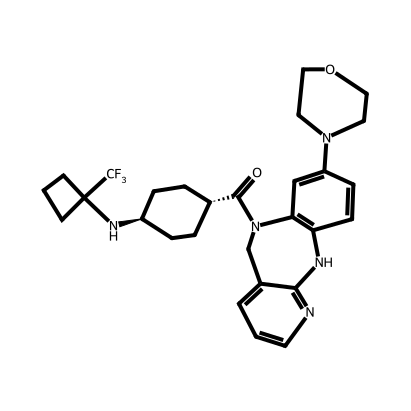 O=C([C@H]1CC[C@H](NC2(C(F)(F)F)CCC2)CC1)N1Cc2cccnc2Nc2ccc(N3CCOCC3)cc21